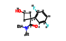 CCN(CC)C(=O)C1(c2cc(F)ccc2F)CC(O)C1